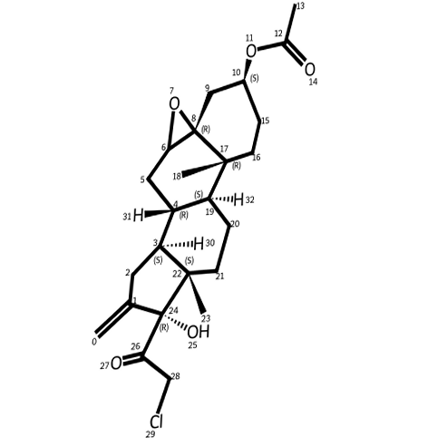 C=C1C[C@H]2[C@@H]3CC4O[C@@]45C[C@@H](OC(C)=O)CC[C@]5(C)[C@H]3CC[C@]2(C)[C@@]1(O)C(=O)CCl